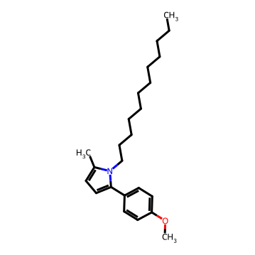 CCCCCCCCCCCCn1c(C)ccc1-c1ccc(OC)cc1